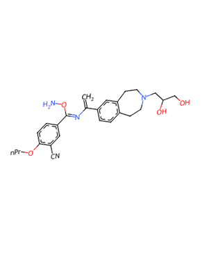 C=C(/N=C(\ON)c1ccc(OCCC)c(C#N)c1)c1ccc2c(c1)CCN(CC(O)CO)CC2